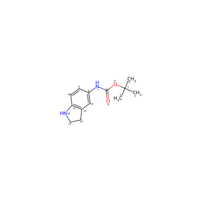 CC(C)(C)OC(=O)Nc1ccc2c(c1)CCN2